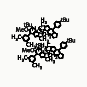 COc1c(C(C)(C)C)cc2c(c1-c1cc(C)cc(C)c1)C=C(C)C2[Si](C)(C)C1C(C)=Cc2c1cc1c(c2-c2ccc(C(C)(C)C)cc2)CCC1.COc1c(C(C)(C)C)cc2c(c1-c1cc(C)cc(C)c1)C=C(C)C2[Si](C)(C)C1C(C)=Cc2c1cc1c(c2-c2ccc(C(C)(C)C)cc2)CCC1